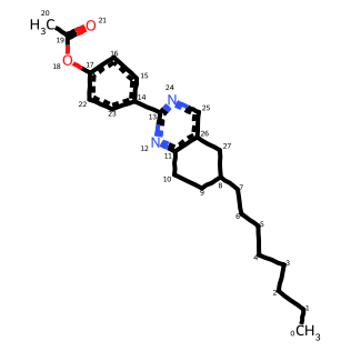 CCCCCCCCC1CCc2nc(-c3ccc(OC(C)=O)cc3)ncc2C1